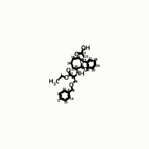 CCOC(=O)[C@H](COCc1ccccc1)N[C@@H]1CCC=C[N@@+](CC(=O)O)(c2ccccc2)C1=O